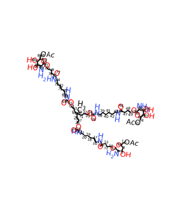 CC(=O)OCC1CC(O)C(N)C(OCCCC(=O)NCCCCCCNC(=O)OCCCC(C)(CCCOC(=O)NCCCCCCNC(=O)CCCOC2OC(COC(C)=O)C(O)C(O)C2N)CCCOC(=O)NCCCCCCNC(=O)CCCOC2OC(COC(C)=O)C(O)C(O)C2N)O1